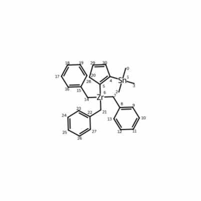 [CH3][Sn]([CH3])([CH3])[C]1=[C]([Zr]([CH2]c2ccccc2)([CH2]c2ccccc2)[CH2]c2ccccc2)CC=C1